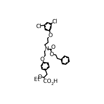 CCOC(Cc1ccc(OCCN(CCCOc2cc(Cl)cc(Cl)c2)C(=O)OCCc2ccccc2)cc1)C(=O)O